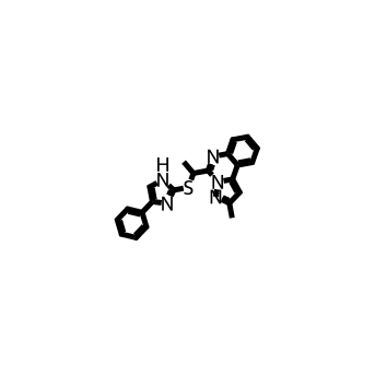 Cc1cc2c3ccccc3nc(C(C)Sc3nc(-c4ccccc4)c[nH]3)n2n1